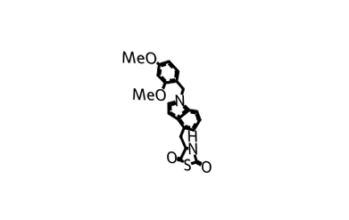 COc1ccc(Cn2ccc3c(CC4NC(=O)SC4=O)cccc32)c(OC)c1